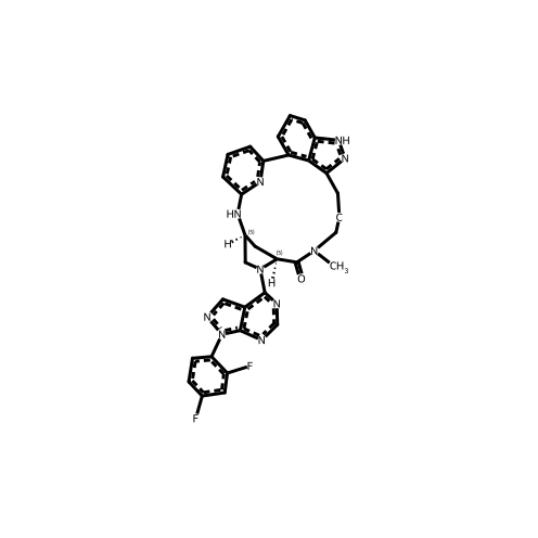 CN1CCCc2n[nH]c3cccc(c23)-c2cccc(n2)N[C@H]2C[C@@H](C1=O)N(c1ncnc3c1cnn3-c1ccc(F)cc1F)C2